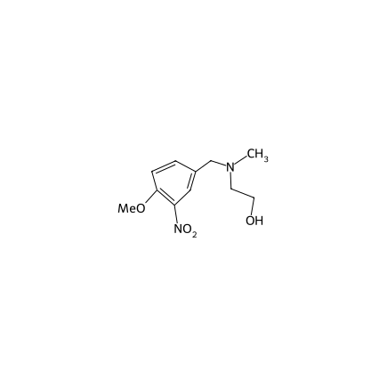 COc1ccc(CN(C)CCO)cc1[N+](=O)[O-]